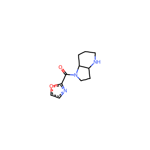 O=C(c1ncco1)N1CCC2NCCCC21